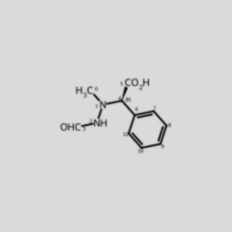 CN(NC=O)[C@@H](C(=O)O)c1ccccc1